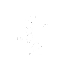 Cc1c(-c2cc3cc(N(C(=O)O)C4CCS(=O)(=O)C4)ncc3c(N)n2)cnc2c1NCCO2